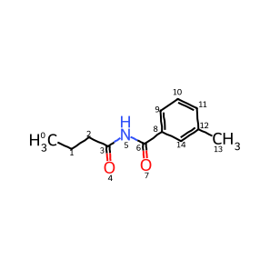 CCCC(=O)NC(=O)c1cccc(C)c1